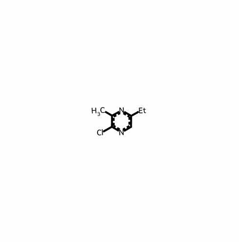 CCc1cnc(Cl)c(C)n1